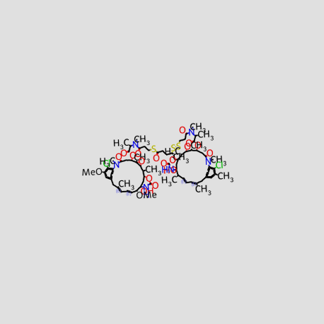 COc1cc2cc(c1Cl)N(C)C(=O)CC(OC(=O)C(C)N(C)C(=O)CCSC(=O)CCC(C)SSCCC(=O)N(C)C(C)C(=O)OC1CC(=O)N(C)c3cc(cc(C)c3Cl)C/C(C)=C/C=C/C(C)C3(O)CC(OC(=O)N3)C(C)C3OC13C)C1(C)OC1C(C)C1CC(O)(NC(=O)O1)C(OC)/C=C/C=C(\C)C2